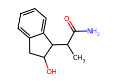 CC(C(N)=O)C1c2ccccc2CC1O